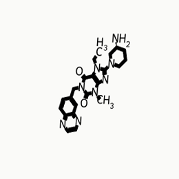 CCn1c(N2CCC[C@@H](N)C2)nc2c1c(=O)n(Cc1ccc3nccnc3c1)c(=O)n2C